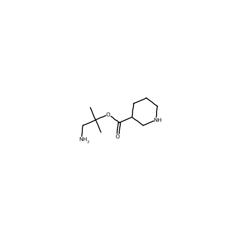 CC(C)(CN)OC(=O)C1CCCNC1